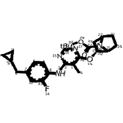 Cc1c(Nc2ccc(CC3CC3)cc2F)ncnc1O[C@H]1CC2CCC1N2C(=O)OC(C)(C)C